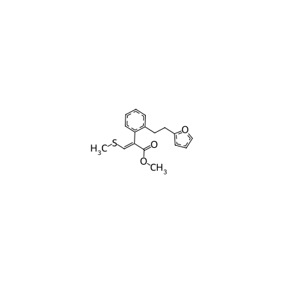 COC(=O)/C(=C/SC)c1ccccc1CCc1ccco1